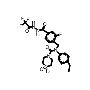 CCc1ccc(N(Cc2ccc(C(=O)NNC(=O)C(F)(F)F)cc2F)C(=O)N2CCS(=O)(=O)CC2)cc1